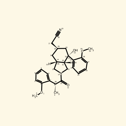 COc1ccccc1[C@@H](C)C(=O)N1C[C@@H]2C[C@@H](CC#N)C[C@@](O)(c3ccccc3OC)[C@@H]2C1